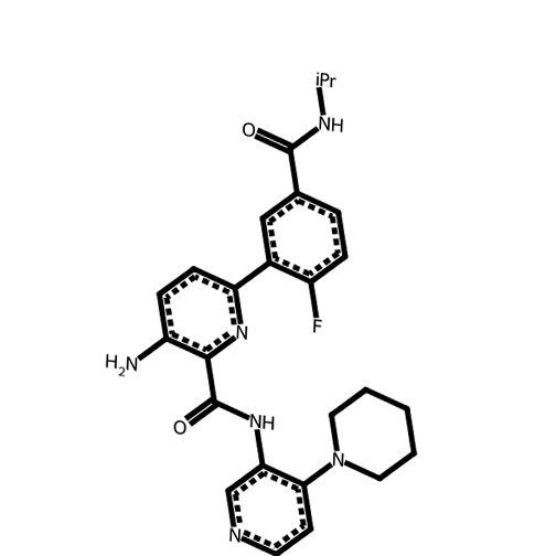 CC(C)NC(=O)c1ccc(F)c(-c2ccc(N)c(C(=O)Nc3cnccc3N3CCCCC3)n2)c1